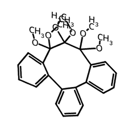 COC1(OC)c2ccccc2-c2ccccc2-c2ccccc2C(OC)(OC)C1(OC)OC